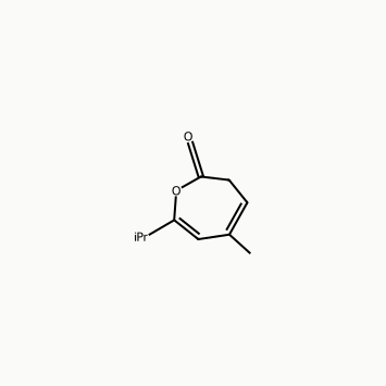 CC1=CCC(=O)OC(C(C)C)=C1